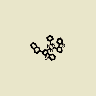 C1=CC2=CC=C(c3cc(-c4nc(C5=CC=CC6Oc7ccccc7C56)nc(-c5ccccc5)n4)c4c(c3)sc3ccccc34)CC2C=C1